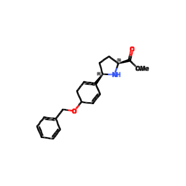 COC(=O)[C@@H]1CC[C@H](C2=CCC(OCc3ccccc3)C=C2)N1